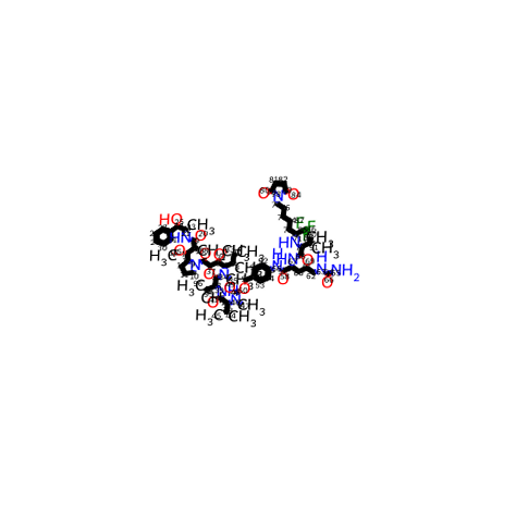 CCC(C)C(C(CC(=O)N1CCCC1C(OC)C(C)C(=O)NC(C)C(O)c1ccccc1)OC)N(C)C(=O)C(NC(=O)C(C(C)C)N(C)C(=O)OCc1ccc(NC(=O)C(CCCNC(N)=O)NC(=O)C(NC(CCCCCN2C(=O)C=CC2=O)C(F)(F)F)C(C)C)cc1)C(C)C